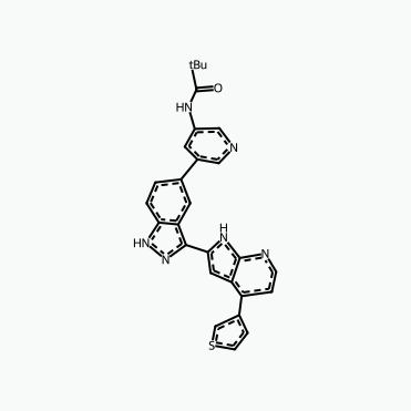 CC(C)(C)C(=O)Nc1cncc(-c2ccc3[nH]nc(-c4cc5c(-c6ccsc6)ccnc5[nH]4)c3c2)c1